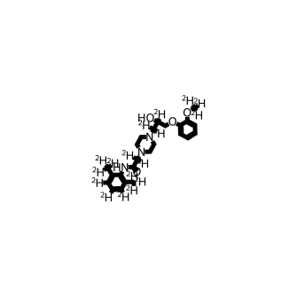 [2H]c1c([2H])c(C([2H])([2H])[2H])c(NC(=O)C([2H])([2H])N2CCN(C([2H])([2H])C([2H])(O)COc3ccccc3OC([2H])([2H])[2H])CC2)c(C([2H])([2H])[2H])c1[2H]